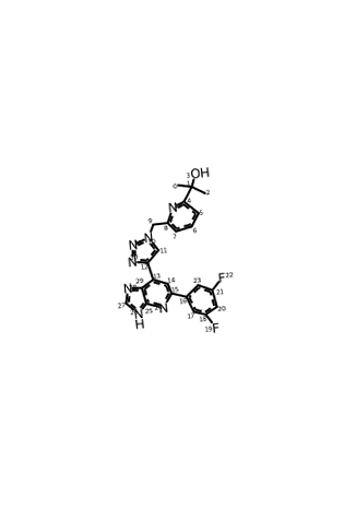 CC(C)(O)c1cccc(Cn2cc(-c3cc(-c4cc(F)cc(F)c4)nc4[nH]cnc34)nn2)n1